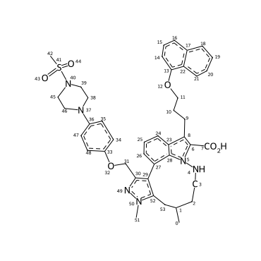 CC1CCNn2c(C(=O)O)c(CCCOc3cccc4ccccc34)c3cccc(c32)-c2c(COc3ccc(N4CCN(S(C)(=O)=O)CC4)cc3)nn(C)c2C1